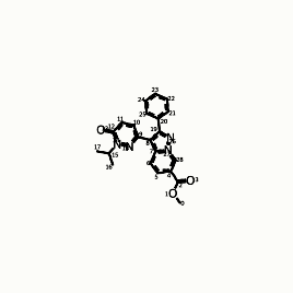 COC(=O)c1ccc2c(-c3ccc(=O)n(C(C)C)n3)c(-c3ccccc3)nn2c1